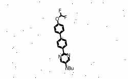 CCCCc1cnc(-c2ccc(-c3ccc(OC(F)F)cc3)cc2)nc1